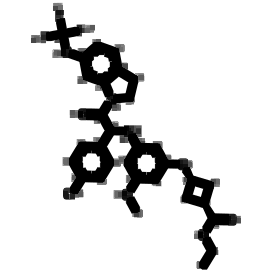 CCOC(=O)[C@H]1C[C@@H](Oc2cc(NC(C(=O)N3CCc4ccc(OC(F)(F)F)cc43)c3ccc(Cl)cc3)cc(OC)c2)C1